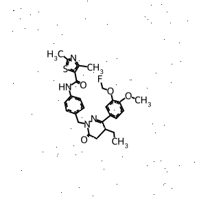 CCC1CC(=O)N(Cc2ccc(NC(=O)c3sc(C)nc3C)cc2)N=C1c1ccc(OC)c(OCF)c1